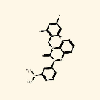 CN(C)c1cc(N2Sc3ccccc3N(Cc3c(F)cc(F)cc3F)C2=O)ccn1